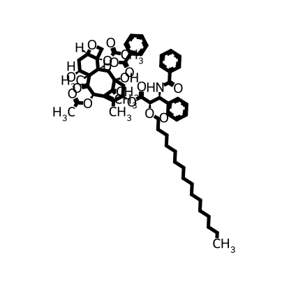 CCCCCCCCCCCCCCCC(=O)O[C@@H](C(=O)O[C@H]1C[C@@]2(O)[C@@H](OC(=O)c3ccccc3)[C@@H]3[C@]4(OC(C)=O)CO[C@@H]4C[C@H](O)[C@@]3(C)C(=O)[C@H](OC(C)=O)C(=C1C)C2(C)C)[C@@H](NC(=O)c1ccccc1)c1ccccc1